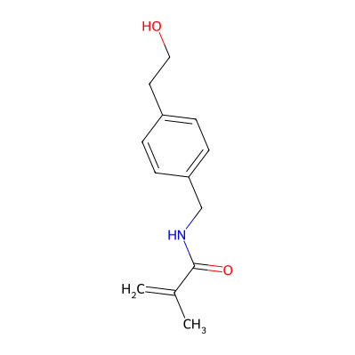 C=C(C)C(=O)NCc1ccc(CCO)cc1